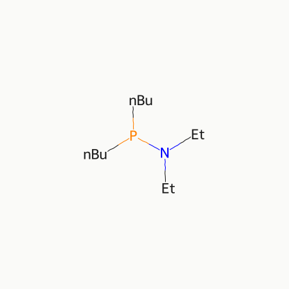 CCCCP(CCCC)N(CC)CC